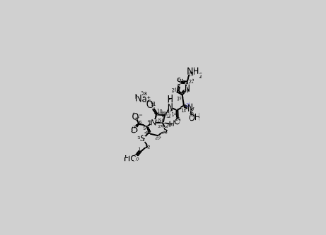 C#CCSC1=C(C(=O)[O-])N2C(=O)[C@@H](NC(=O)/C(=N\O)c3csc(N)n3)[C@@H]2SC1.[Na+]